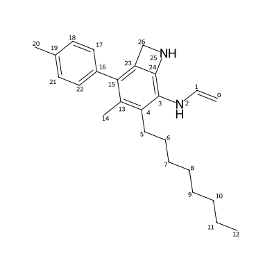 C=CNc1c(CCCCCCCC)c(C)c(-c2ccc(C)cc2)c2c1NC2